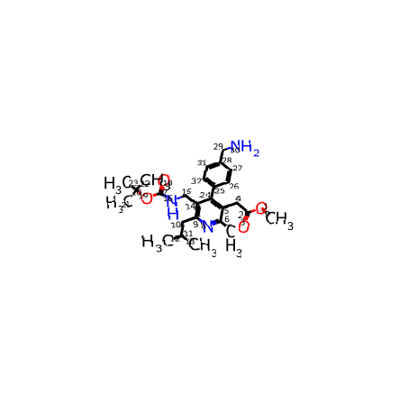 COC(=O)Cc1c(C)nc(CC(C)C)c(CNC(=O)OC(C)(C)C)c1-c1ccc(CN)cc1